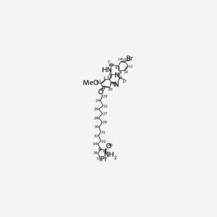 COc1cc2c(N[C@H](C)c3cccc(Br)c3)nc(C)nc2cc1OCCCCCCCCCCCCC(CC(C)C)C(N)=O